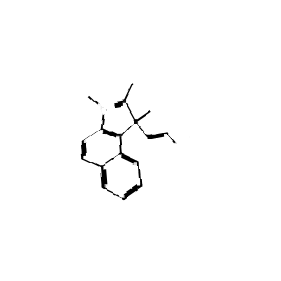 CCC=CC1(C)C(C)=[N+](C)c2ccc3ccccc3c21.[Br-]